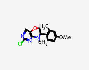 COc1ccc(C2COc3cnc(Cl)nc3N2C)c(C)c1